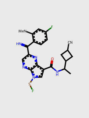 CNc1cc(F)ccc1C(=N)c1cnc2c(n1)c(C(=O)NC(C)C1CC(C#N)C1)cn2SF